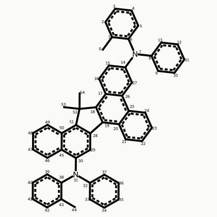 Cc1ccccc1N(c1ccccc1)c1ccc2c3c(c4ccccc4c2c1)-c1cc(N(c2ccccc2)c2ccccc2C)c2ccccc2c1C3(C)C